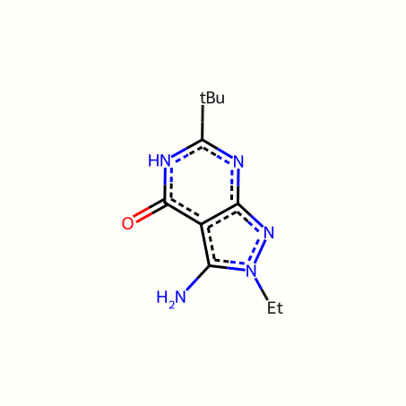 CCn1nc2nc(C(C)(C)C)[nH]c(=O)c2c1N